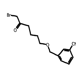 N#Cc1cccc(COCCCCC(=O)CBr)c1